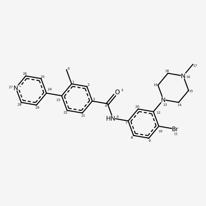 Cc1cc(C(=O)Nc2ccc(Br)c(N3CCN(C)CC3)c2)ccc1-c1ccncc1